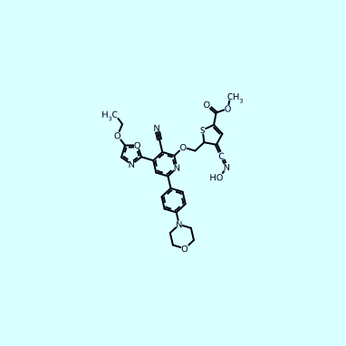 CCOc1cnc(-c2cc(-c3ccc(N4CCOCC4)cc3)nc(OCC3SC(C(=O)OC)=CC3=C=NO)c2C#N)o1